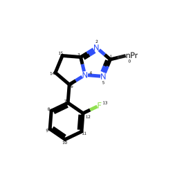 CCCc1nc2n(n1)C(c1ccccc1F)CC2